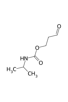 CC(C)NC(=O)OCCC=O